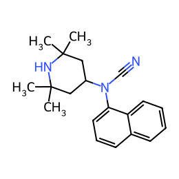 CC1(C)CC(N(C#N)c2cccc3ccccc23)CC(C)(C)N1